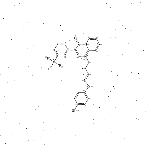 O=c1c(-c2cccc(C(F)(F)F)c2)c[n+](CCC=NOc2ccc(Cl)cc2)c2ccccn12